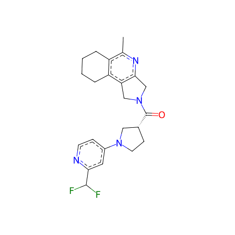 Cc1nc2c(c3c1CCCC3)CN(C(=O)[C@@H]1CCN(c3ccnc(C(F)F)c3)C1)C2